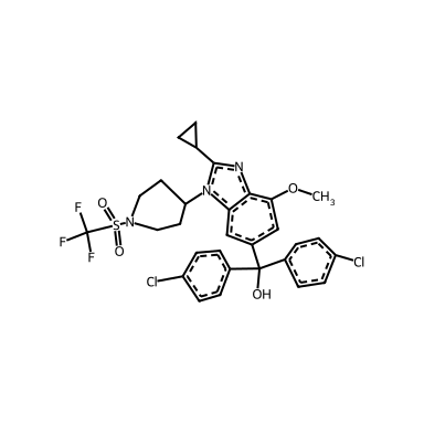 COc1cc(C(O)(c2ccc(Cl)cc2)c2ccc(Cl)cc2)cc2c1nc(C1CC1)n2C1CCN(S(=O)(=O)C(F)(F)F)CC1